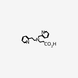 O=C(O)CCN(CCc1ccccn1)Cc1ccccn1